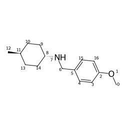 COc1ccc(CN[C@H]2CC[C@H](C)CC2)cc1